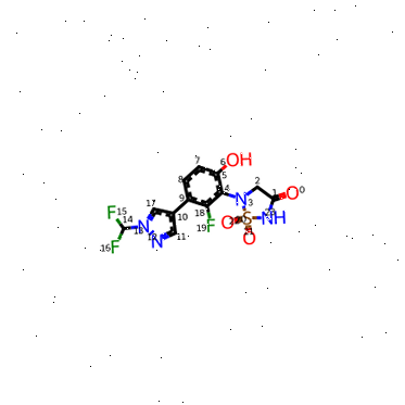 O=C1CN(c2c(O)ccc(-c3cnn(C(F)F)c3)c2F)S(=O)(=O)N1